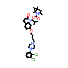 CC(C)C(OC(=O)N(C(C)C)C1(C)CC1(C)C)n1c(=O)ccc2ccc(OCCCCN3CCN(c4cccc(Cl)c4Cl)CC3)cc21